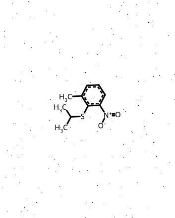 Cc1cccc([N+](=O)[O-])c1SC(C)C